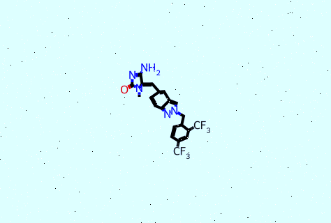 CN1C(=O)N=C(N)/C1=C/c1ccc2nn(CC3C=CC(C(F)(F)F)=CC3C(F)(F)F)cc2c1